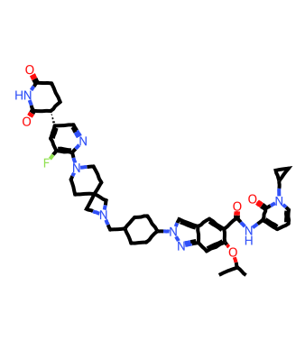 CC(C)Oc1cc2nn(C3CCC(CN4CC5(CCN(c6ncc([C@H]7CCC(=O)NC7=O)cc6F)CC5)C4)CC3)cc2cc1C(=O)Nc1cccn(C2CC2)c1=O